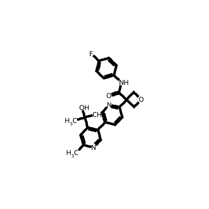 Cc1cc(C(C)(C)O)c(-c2ccc(C3(C(=O)Nc4ccc(F)cc4)COC3)nc2)cn1